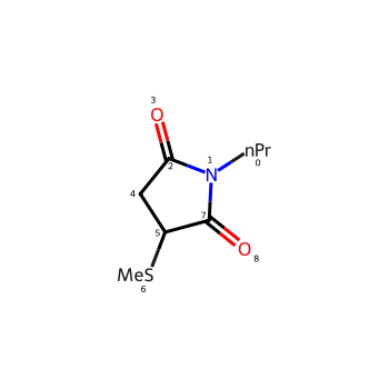 CCCN1C(=O)CC(SC)C1=O